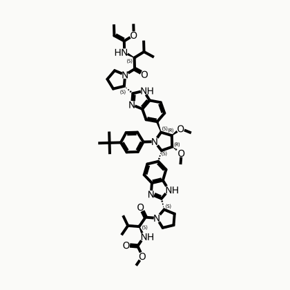 CC=C(N[C@H](C(=O)N1CCC[C@H]1c1nc2cc([C@H]3[C@@H](OC)[C@H](OC)[C@H](c4ccc5nc([C@@H]6CCCN6C(=O)[C@@H](NC(=O)OC)C(C)C)[nH]c5c4)N3c3ccc(C(C)(C)C)cc3)ccc2[nH]1)C(C)C)OC